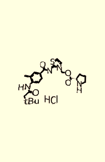 Cc1cc(C(=O)/N=c2\sccn2COC(=O)[C@@H]2CCCN2)ccc1NC(=O)CC(C)(C)C.Cl